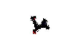 CC(C)(C)CC(c1ccc(-c2ccc(-c3ccc4c(c3)c3cc(-c5ccc(N(c6ccc(-c7ccccc7)cc6)c6ccc7c(c6)C(C)(C)c6ccccc6-7)cc5)ccc3n4-c3ccc(OC(C)(C)C)cc3)cc2)cc1)C(C)(C)C